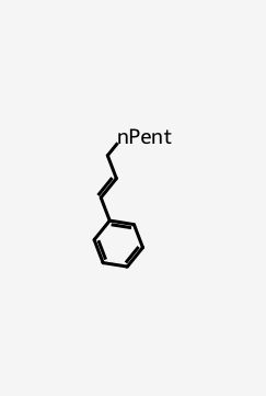 CCCCCCC=Cc1ccccc1